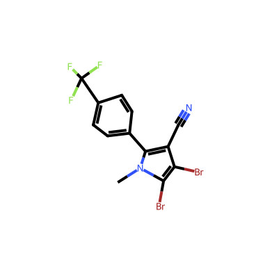 Cn1c(Br)c(Br)c(C#N)c1-c1ccc(C(F)(F)F)cc1